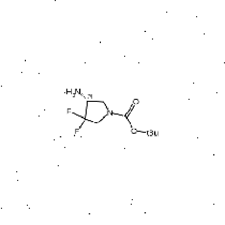 CC(C)(C)OC(=O)N1C[C@@H](N)C(F)(F)C1